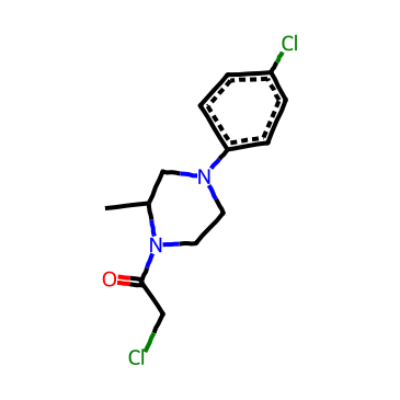 CC1CN(c2ccc(Cl)cc2)CCN1C(=O)CCl